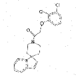 O=C(COc1cccc(Cl)c1Cl)N1CCC2(C=Cc3ccccc32)CC1